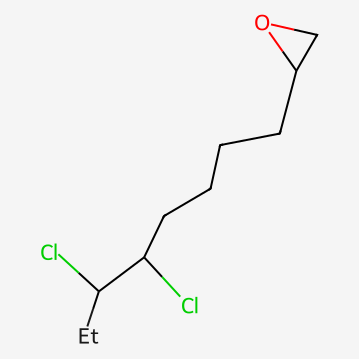 CCC(Cl)C(Cl)CCCCC1CO1